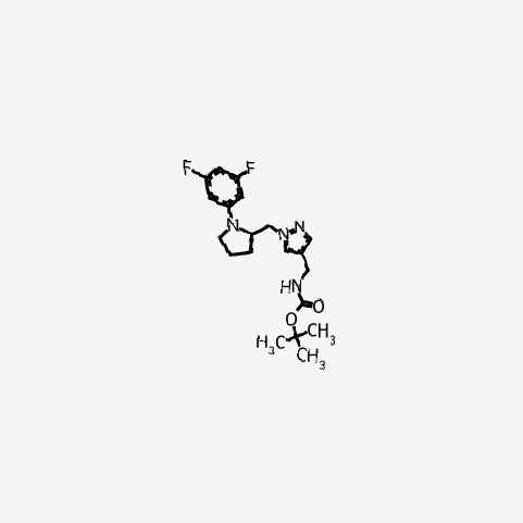 CC(C)(C)OC(=O)NCc1cnn(CC2CCCN2c2cc(F)cc(F)c2)c1